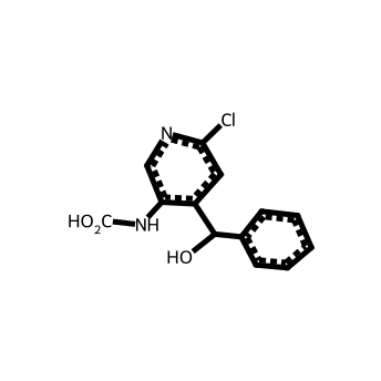 O=C(O)Nc1cnc(Cl)cc1C(O)c1ccccc1